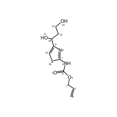 C=CCOC(=O)Nc1nc(C(O)CCO)cs1